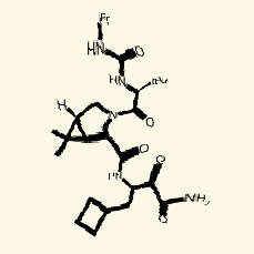 CC(C)NC(=O)N[C@H](C(=O)N1C[C@@H]2C(C1C(=O)NC(CC1CCC1)C(=O)C(N)=O)C2(C)C)C(C)(C)C